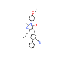 CCCCc1nc(C)n(-c2ccc(OCC)cc2)c(=O)c1Cc1ccc(-c2ccccc2)c(C#N)c1